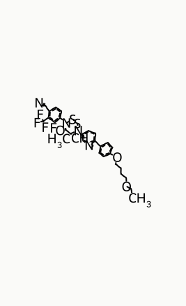 CCOCCCCOc1ccc(-c2ccc(N3SSN(c4ccc(C#N)c(C(F)(F)F)c4F)C(=O)C3(C)C)cn2)cc1